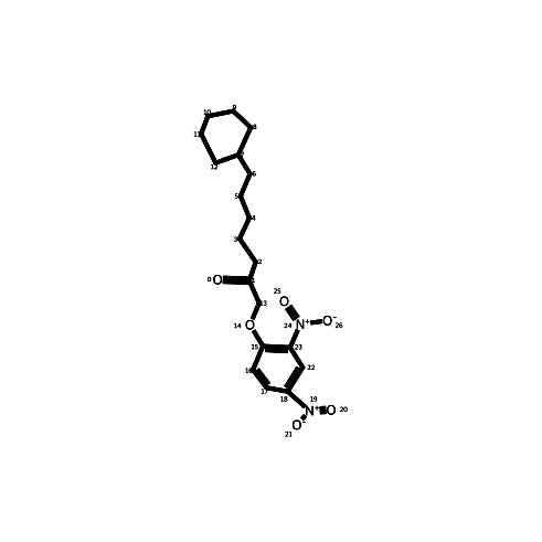 O=C(CCCCC[C]1CCCCC1)COc1ccc([N+](=O)[O-])cc1[N+](=O)[O-]